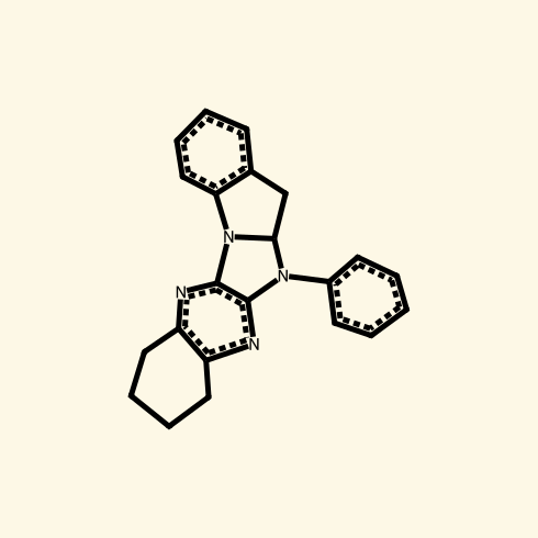 c1ccc(N2c3nc4c(nc3N3c5ccccc5CC23)CCCC4)cc1